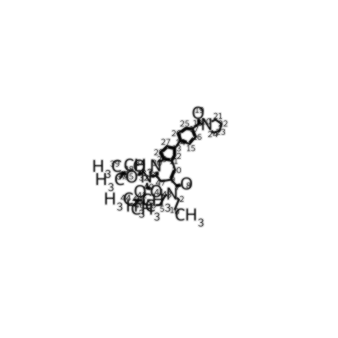 CCCN(CCC)C(=O)C1=Cc2cc(-c3ccc(C(=O)N4CCCC4)cc3)ccc2N=C(N(C(=O)OC(C)(C)C)C(=O)OC(C)(C)C)C1